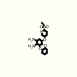 CCS(=O)(=O)c1ccc(Oc2cc(N)c(N)c(Oc3ccccc3Cl)c2)cn1